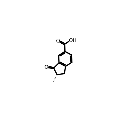 C[C@H]1Cc2ccc(C(=O)O)cc2C1=O